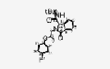 CC(CN1C(=O)c2ccccc2C1C(=O)NC(C)(C)C)Oc1ccc(F)cc1